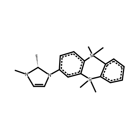 C[C@H]1N(C)C=CN1c1ccc2c(c1)[Si](C)(C)c1ccccc1[Si]2(C)C